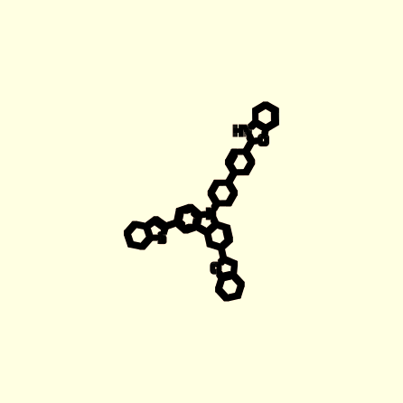 C1=CC2OC(C3C=CC(C4CCC(N5c6ccc(C7=CC8CCCCC8S7)cc6C6CC(C7CC8=C(CCCC8)O7)C=CC65)CC4)CC3)NC2CC1